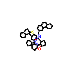 C=N/C(=N\C(=N/Cc1ccc2ccc3ccccc3c2c1)c1cccc2oc3cccc(-c4ccc5sc6ccc7ccccc7c6c5c4)c3c12)c1ccccc1